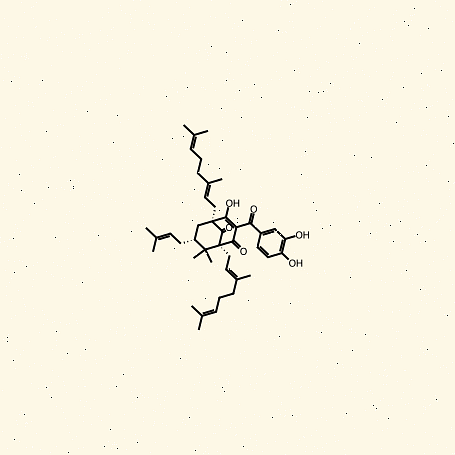 CC(C)=CCC/C(C)=C/C[C@]12C[C@@H](CC=C(C)C)C(C)(C)[C@](C/C=C(\C)CCC=C(C)C)(C(=O)C(C(=O)c3ccc(O)c(O)c3)=C1O)C2=O